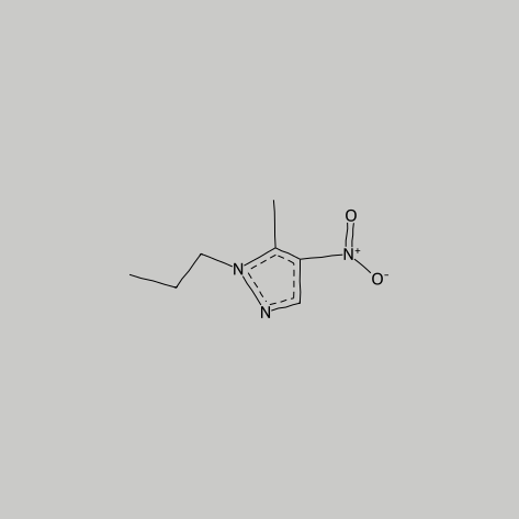 CCCn1ncc([N+](=O)[O-])c1C